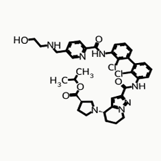 CC(C)OC(=O)[C@@H]1CCN([C@H]2CCCn3nc(C(=O)Nc4cccc(-c5cccc(NC(=O)c6ccc(CNCCO)cn6)c5Cl)c4Cl)cc32)C1